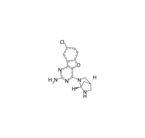 Nc1nc(N2C[C@H]3CN[C@H]2C3)c2oc3ccc(Cl)cc3c2n1